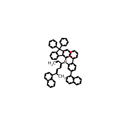 C=C/C(=C\C=C(/C)c1cccc2ccccc12)N(c1cc(-c2cccc3ccccc23)ccc1-c1ccccc1)c1cccc2c1-c1ccccc1C2(c1ccccc1)c1ccccc1